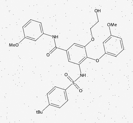 COc1cccc(NC(=O)c2cc(NS(=O)(=O)c3ccc(C(C)(C)C)cc3)c(Oc3cccc(OC)c3)c(OCCO)c2)c1